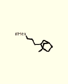 CCCCCCCCCC1CC2CCC1(C)C2